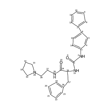 O=C(Nc1ccc(-c2ccccc2)cc1)NC(Cc1ccccc1)C(=O)NCCN1CCCC1